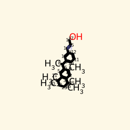 Cc1cc2c(cc1C(C)c1cccc(/C=C/CO)c1)C(C)(C)CCC2(C)C